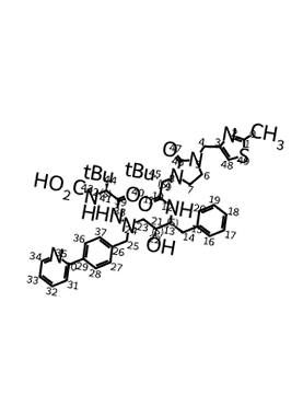 Cc1nc(CN2CCN([C@H](C(=O)N[C@@H](Cc3ccccc3)[C@@H](O)CN(Cc3ccc(-c4ccccn4)cc3)NC(=O)[C@@H](NC(=O)O)C(C)(C)C)C(C)(C)C)C2=O)cs1